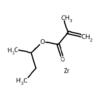 C=C(C)C(=O)OC(C)CC.[Zr]